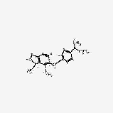 Cc1c(Oc2ccc(C(C)N)cc2)ccc2c1B(O)OC2